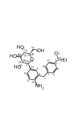 CC[S+]([O-])c1ccc(Cc2cc([C@@H]3O[C@H](CO)[C@@H](O)[C@H](O)[C@H]3O)ccc2N)cc1